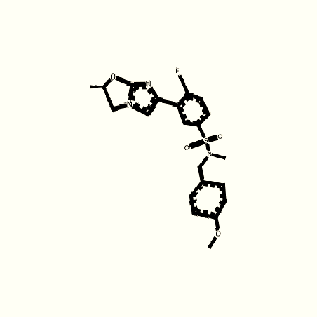 COc1ccc(CN(C)S(=O)(=O)c2ccc(F)c(-c3cn4c(n3)O[C@H](C)C4)c2)cc1